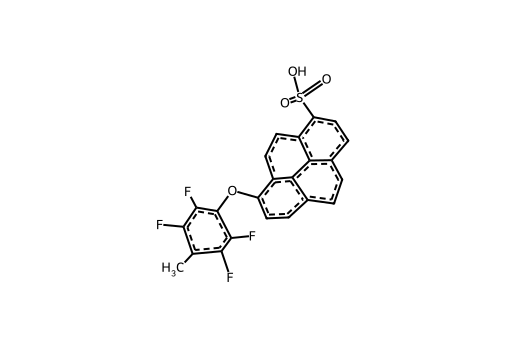 Cc1c(F)c(F)c(Oc2ccc3ccc4ccc(S(=O)(=O)O)c5ccc2c3c45)c(F)c1F